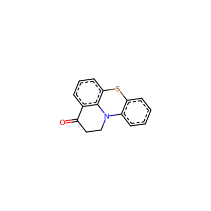 O=C1CCN2c3ccccc3Sc3cccc1c32